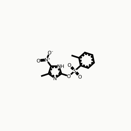 Cc1ccccc1S(=O)(=O)Oc1nc(C)c([N+](=O)[O-])[nH]1